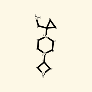 OCC1(N2CCN(C3COC3)CC2)CC1